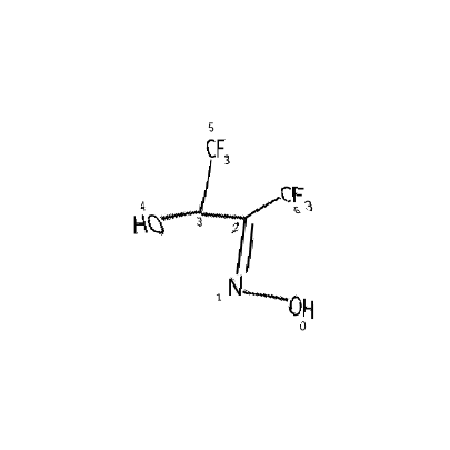 O/N=C(/C(O)C(F)(F)F)C(F)(F)F